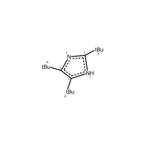 CC(C)(C)c1nc(C(C)(C)C)c(C(C)(C)C)[nH]1